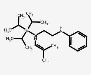 CC(C)=C[SiH](CCNc1ccccc1)[Si](C(C)C)(C(C)C)C(C)C